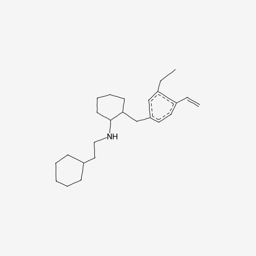 C=Cc1ccc(CC2CCCCC2NCCC2CCCCC2)cc1CC